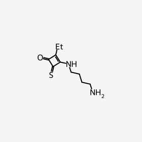 CCc1c(NCCCCN)c(=S)c1=O